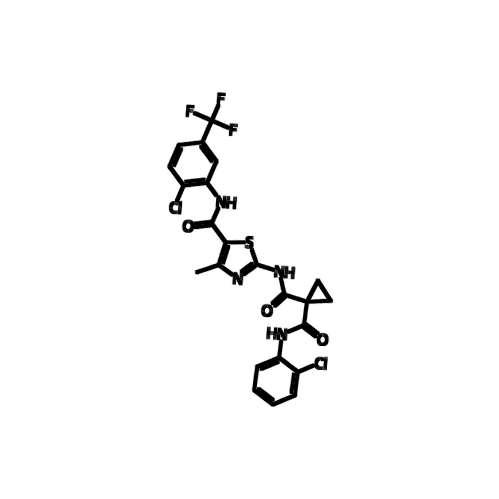 Cc1nc(NC(=O)C2(C(=O)Nc3ccccc3Cl)CC2)sc1C(=O)Nc1cc(C(F)(F)F)ccc1Cl